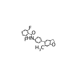 Cc1cc2c(cc1-c1ccc(NC(=O)c3c(F)cccc3F)cc1)CCO2